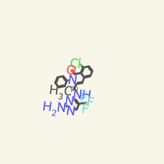 C[C@@H](Nc1nc(N)ncc1C(F)(F)F)c1cc2cccc(Cl)c2c(=O)n1-c1ccccc1